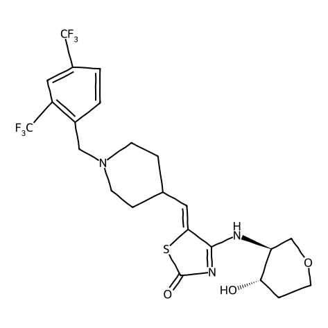 O=C1N=C(N[C@H]2COCC[C@@H]2O)/C(=C/C2CCN(Cc3ccc(C(F)(F)F)cc3C(F)(F)F)CC2)S1